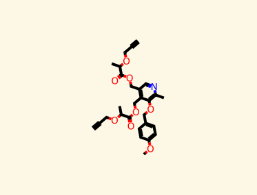 C#CCOC(C)C(=O)OCc1cnc(C)c(OCc2ccc(OC)cc2)c1COC(=O)C(C)OCC#C